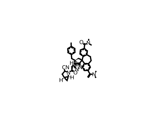 C=C(c1ccc2c(c1)CCc1cc(C(=O)N(C)C)ccc1C2(C[C@H](Cc1ccc(C)cc1)NCC(=O)N1C(C#N)C[C@@H]2C[C@@H]21)c1nnn[nH]1)N(C)C